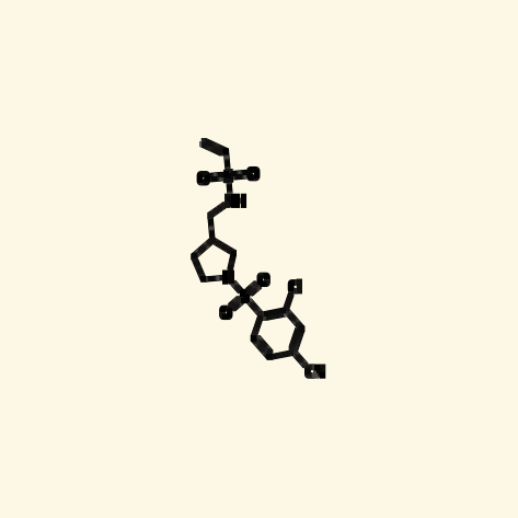 C=CS(=O)(=O)NCC1CCN(S(=O)(=O)c2ccc(C#N)cc2Cl)C1